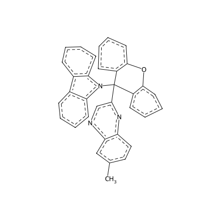 Cc1ccc2nc(C3(n4c5ccccc5c5ccccc54)c4ccccc4Oc4ccccc43)cnc2c1